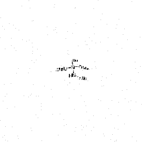 CCCCN[Si](OC)(OC)C(C)CC